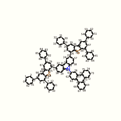 c1ccc(-c2cc(-c3ccccc3)c3sc4c(-c5ccc6c(c5)c5cc(-c7cc(-c8ccccc8)cc8c7sc7c(-c9ccccc9)cc(-c9ccccc9)cc78)ccc5n6-c5ccc6c7ccccc7c7ccccc7c6c5)cc(-c5ccccc5)cc4c3c2)cc1